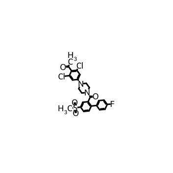 CC(=O)c1c(Cl)cc(N2CCN(C(=O)c3cc(S(C)(=O)=O)ccc3-c3ccc(F)cc3)CC2)cc1Cl